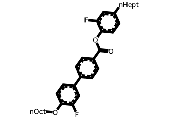 CCCCCCCCOc1ccc(-c2ccc(C(=O)Oc3ccc(CCCCCCC)cc3F)cc2)cc1F